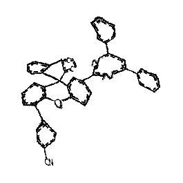 N#Cc1ccc(-c2cccc3c2Oc2ccc(-c4nc(-c5ccccc5)cc(-c5ccccc5)n4)cc2C32c3ccccc3-c3ccccc32)cc1